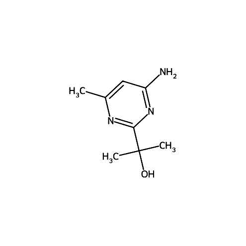 Cc1cc(N)nc(C(C)(C)O)n1